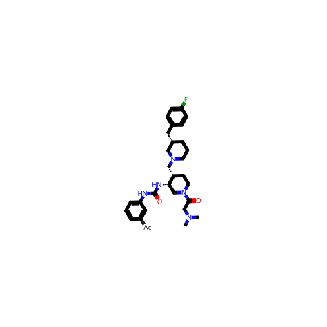 CC(=O)c1cccc(NC(=O)N[C@H]2CN(C(=O)CN(C)C)CC[C@H]2CN2CCC[C@@H](Cc3ccc(F)cc3)C2)c1